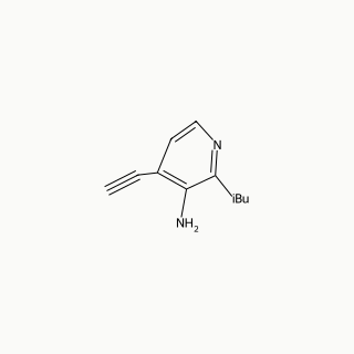 C#Cc1ccnc(C(C)CC)c1N